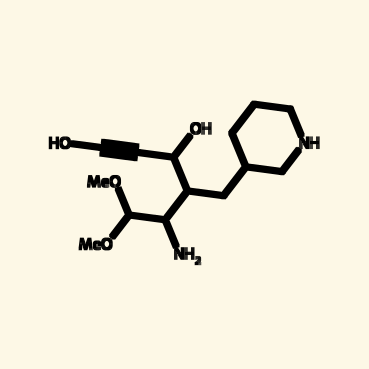 COC(OC)C(N)C(CC1CCCNC1)C(O)C#CO